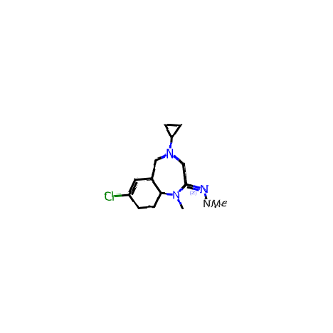 CN/N=C1/CN(C2CC2)CC2C=C(Cl)CCC2N1C